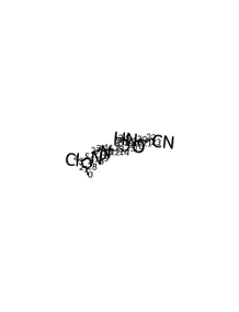 Cc1cc(Cl)cc(N2CCN(CC[C@H]3CC[C@H](NC(=O)CCCC#N)CC3)CC2)c1